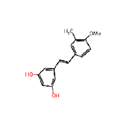 COc1ccc(/C=C/c2cc(O)cc(O)c2)cc1C